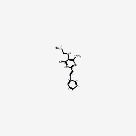 Nc1nc(/C=C/c2ccccc2)nc(Cl)c1OCC(=O)O